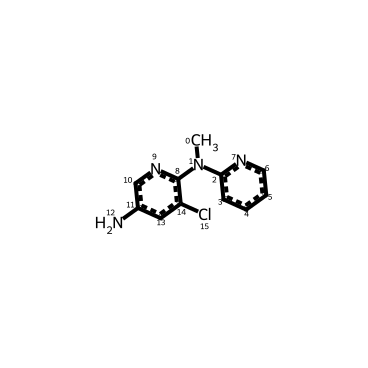 CN(c1ccccn1)c1ncc(N)cc1Cl